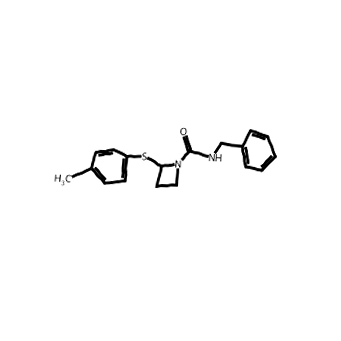 Cc1ccc(SC2CCN2C(=O)NCc2ccccc2)cc1